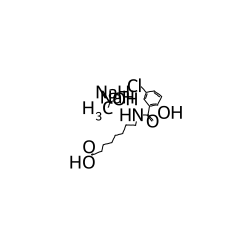 CCO.O=C(O)CCCCCCCNC(=O)c1cc(Cl)ccc1O.[NaH].[NaH]